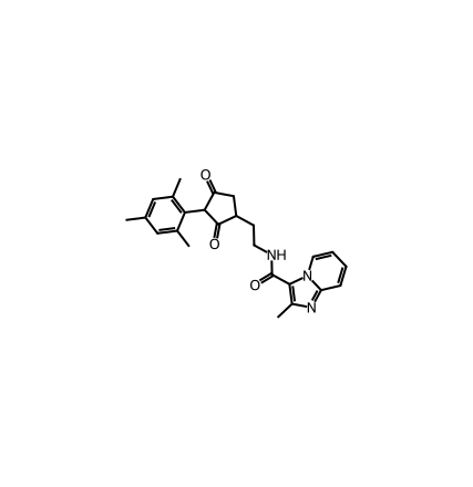 Cc1cc(C)c(C2C(=O)CC(CCNC(=O)c3c(C)nc4ccccn34)C2=O)c(C)c1